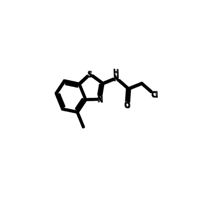 Cc1cccc2sc(NC(=O)CCl)nc12